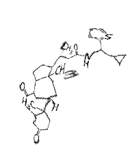 C[C@H](CC(=O)NC(c1cccs1)C1CC1)C1CCC2C3C(=O)CC4CC(=O)CCC4(C)[C@H]3CCC21C